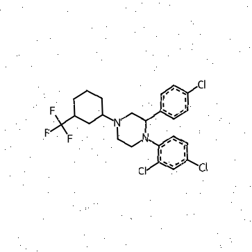 FC(F)(F)C1CCCC(N2CCN(c3ccc(Cl)cc3Cl)C(c3ccc(Cl)cc3)C2)C1